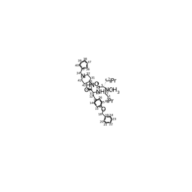 CC(C)CCN(C)[C@@H](CC(C)C)C(=O)N[C@@H](Cc1ccc(OCc2ccccc2)cc1)C(=O)NC1CCN(Cc2ccccc2)CC1